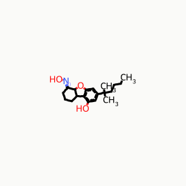 CCCCC(C)(C)c1cc(O)c2c(c1)OC1/C(=N/O)CCCC21